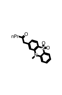 CCCC(=O)Cc1ccc2c(c1)N(C)c1ccccc1S2(=O)=O